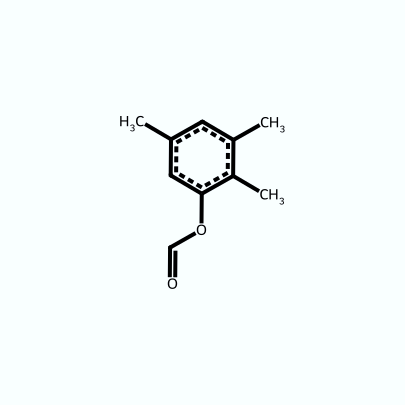 Cc1cc(C)c(C)c(OC=O)c1